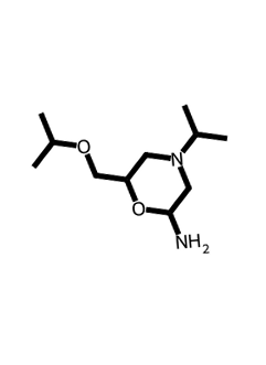 CC(C)OCC1CN(C(C)C)CC(N)O1